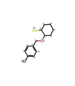 CCC(C)c1ccc(COC2CCCCC2S)cc1